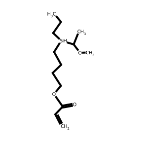 C=CC(=O)OCCCC[SiH](CCC)C(C)OC